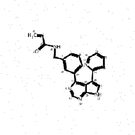 C=CC(=O)NCc1cccc(-c2ncnc3[nH]cc(-c4ccccn4)c23)c1